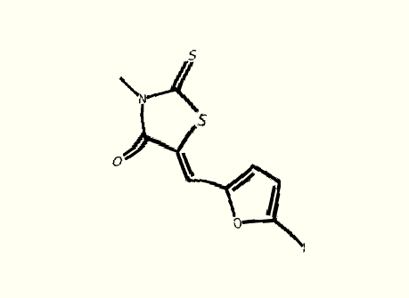 CN1C(=O)/C(=C/c2ccc(I)o2)SC1=S